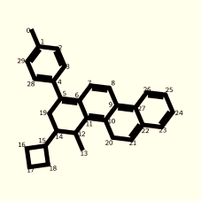 Cc1ccc(C2=c3ccc4c(c3C(C)C(C3CCC3)C2)CC=c2ccccc2=4)cc1